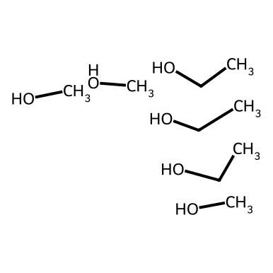 CCO.CCO.CCO.CO.CO.CO